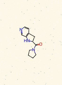 O=C(C1Cc2ccncc2N1)N1CCCC1